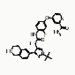 CNC(=O)c1cc(Oc2ccc(NC(=O)Nc3cn(C(C)(C)C)nc3-c3ccc4c(c3)CCNC4)c(F)c2)ccn1